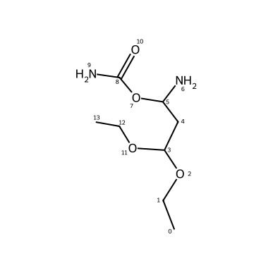 CCOC(CC(N)OC(N)=O)OCC